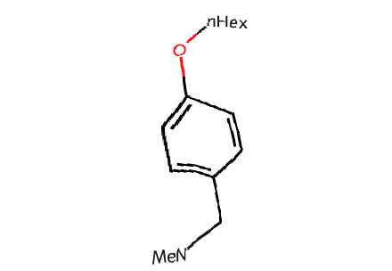 CCCCCCOc1ccc(CNC)cc1